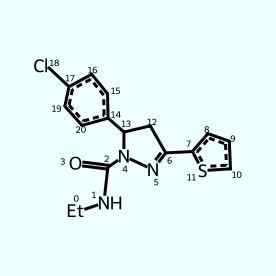 CCNC(=O)N1N=C(c2cccs2)CC1c1ccc(Cl)cc1